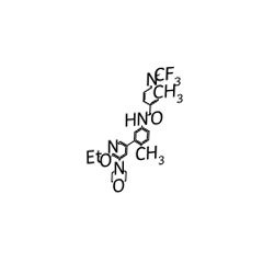 C\C=C(/C=C\C=N\C(F)(F)F)C(=O)Nc1ccc(C)c(-c2cnc(OCC)c(N3CCOCC3)c2)c1